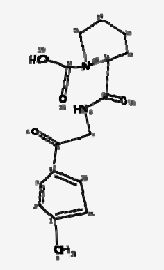 Cc1ccc(C(=O)CNC(=O)C2CCCCN2C(=O)O)cc1